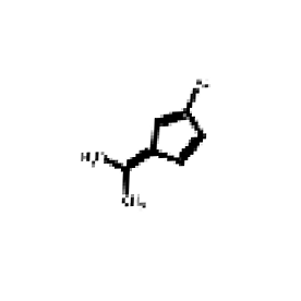 CC(=O)C1=CC(=C(C)C)C=C1